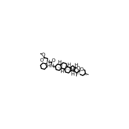 COC(=O)CN(C(=O)N[C@@H]1CC[C@@]2(C)[C@H](CC[C@@H]3[C@@H]2CC[C@]2(C)[C@@H]4[C@H](C[C@@H]32)O[C@]2(CC[C@H](C)CO2)[C@H]4C)C1)C1CCCCC1